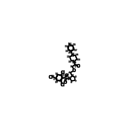 O=C(COCC1CCCN1S(=O)(=O)c1c(Cl)cc(Cl)cc1Cl)N1CCN(c2ccncc2)CC1